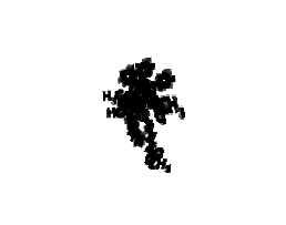 COC(=O)CCCCCCCCO[C@H]1O[C@H](CON=[N+]=[N-])[C@@H](O)[C@H](OC(C)=O)[C@H]1O[C@H]1O[C@H](COC(C)=O)[C@@H](OCc2ccccc2)[C@H](OCc2ccccc2)[C@H]1OCc1ccccc1